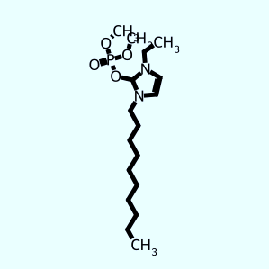 CCCCCCCCCCN1C=CN(CC)C1OP(=O)(OC)OC